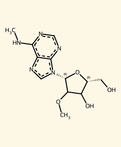 CNc1ncnc2c1ncn2[C@@H]1O[C@H](CO)C(O)C1OC